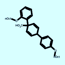 CCCCCCCCOc1ccc(C2C=CC(C(=O)O)(c3ccccc3OCCCCCCCC)C=C2)cc1